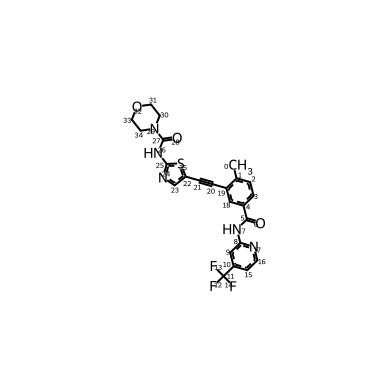 Cc1ccc(C(=O)Nc2cc(C(F)(F)F)ccn2)cc1C#Cc1cnc(NC(=O)N2CCOCC2)s1